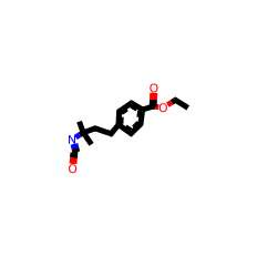 CCOC(=O)c1ccc(CCC(C)(C)N=C=O)cc1